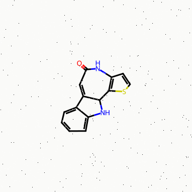 O=C1C=C2c3ccccc3NC2c2sccc2N1